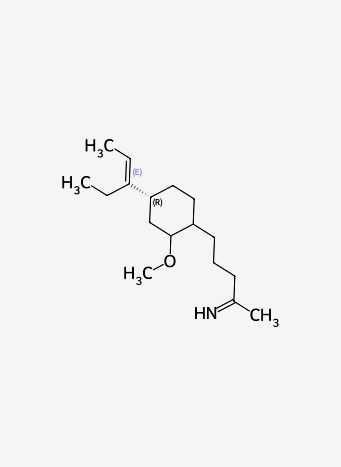 C/C=C(\CC)[C@@H]1CCC(CCCC(C)=N)C(OC)C1